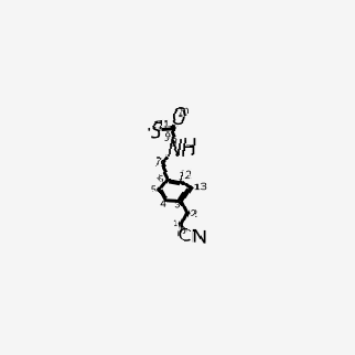 N#CCCc1ccc(CNC(=O)[S])cc1